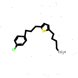 O=C(O)CCCCc1ccc(CCCc2ccc(Cl)cc2)s1